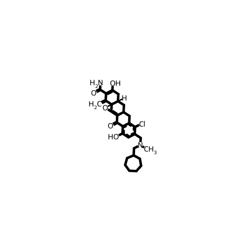 C=C1C(C(N)=O)=C(O)C[C@@H]2CC3Cc4c(Cl)c(CN(C)CC5CCCCCC5)cc(O)c4C(=O)C3=C3O[C@]132